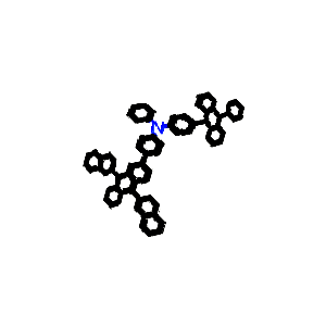 c1ccc(-c2c3ccccc3c(-c3ccc(N(c4ccccc4)c4ccc(-c5ccc6c(-c7ccc8ccccc8c7)c7ccccc7c(-c7ccc8ccccc8c7)c6c5)cc4)cc3)c3ccccc23)cc1